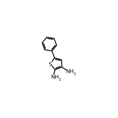 Nc1cc(-c2ccccc2)sc1N